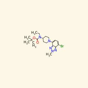 CCN(C(=O)OC(C)(C)C)C1CCN(c2ccc(Br)c3nn(C)nc23)CC1